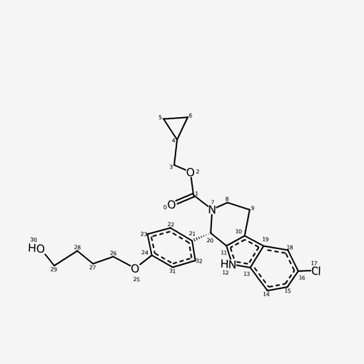 O=C(OCC1CC1)N1CCc2c([nH]c3ccc(Cl)cc23)[C@@H]1c1ccc(OCCCCO)cc1